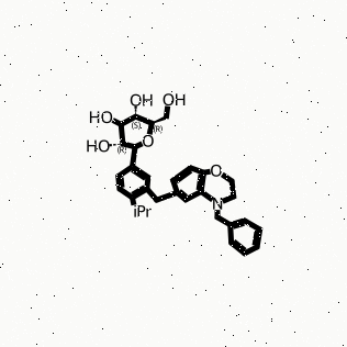 CC(C)c1ccc(C2O[C@H](CO)[C@@H](O)C(O)[C@H]2O)cc1Cc1ccc2c(c1)N(Cc1ccccc1)CCO2